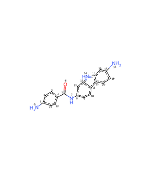 Nc1ccc(C(=O)Nc2ccc3c(c2)[nH]c2cc(N)ccc23)cc1